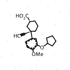 C#C[C@]1(c2ccc(OC)c(OC3CCCC3)c2)CCC[C@H](C(=O)O)C1